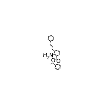 CC(OC(=O)c1cccc(CC=Cc2ccccc2)c1N)c1ccccc1